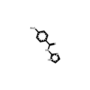 CSc1ccc(C(=S)Nc2ncc[nH]2)cc1